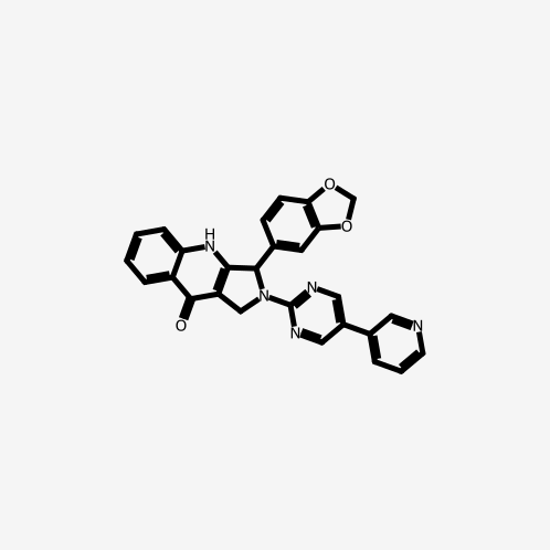 O=c1c2c([nH]c3ccccc13)C(c1ccc3c(c1)OCO3)N(c1ncc(-c3cccnc3)cn1)C2